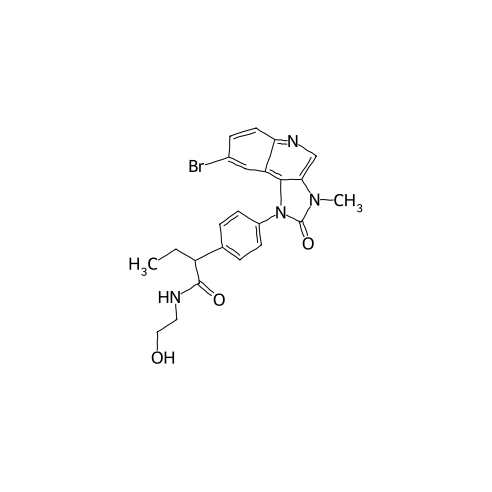 CCC(C(=O)NCCO)c1ccc(-n2c(=O)n(C)c3cnc4ccc(Br)cc4c32)cc1